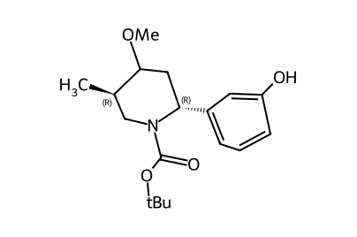 COC1C[C@H](c2cccc(O)c2)N(C(=O)OC(C)(C)C)C[C@H]1C